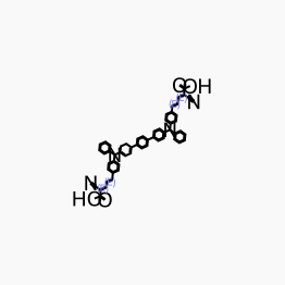 N#C/C(=C\C=C\c1ccc(N(C2=CC=C(c3ccc(-c4ccc(N(c5ccccc5)c5ccc(/C=C/C=C(\C#N)C(=O)O)cc5)cc4)cc3)CC2)c2ccccc2)cc1)C(=O)O